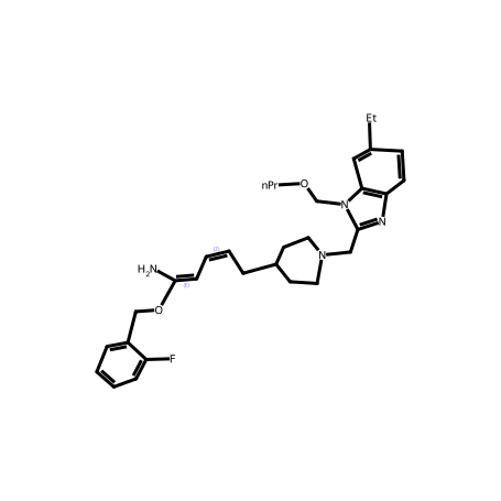 CCCOCn1c(CN2CCC(C/C=C\C=C(/N)OCc3ccccc3F)CC2)nc2ccc(CC)cc21